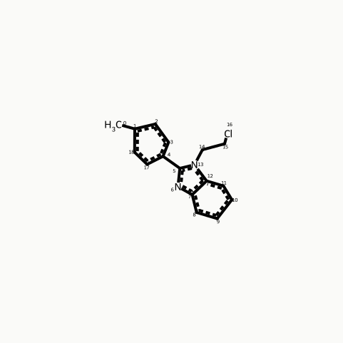 Cc1ccc(-c2nc3ccccc3n2CCCl)cc1